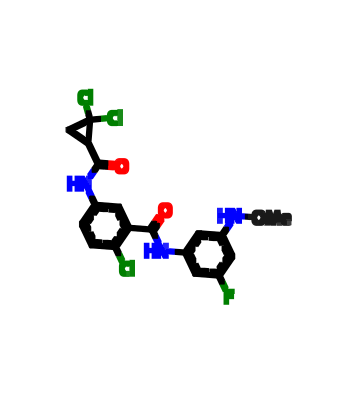 CONc1cc(F)cc(NC(=O)c2cc(NC(=O)C3CC3(Cl)Cl)ccc2Cl)c1